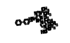 CC1C(C(C)(C)C)N(C(=O)O)CCN1c1nc(NCc2ccc(-c3ccccc3)cc2)c2ncn(C(C)C)c2n1